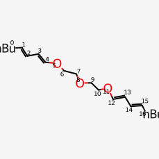 CCCCC=CC=COCCOCCOC=CC=CCCCC